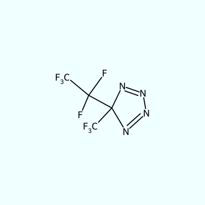 FC(F)(F)C(F)(F)C1(C(F)(F)F)N=NN=N1